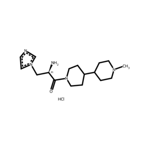 CN1CCC(C2CCN(C(=O)[C@H](N)Cn3ccnc3)CC2)CC1.Cl